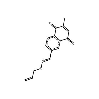 C=CCO/N=C/c1ccc2c(c1)C(=O)C=C(C)C2=O